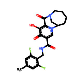 Cc1cc(F)c(CNC(=O)c2cn3c(c(O)c2=O)C(=O)N2CCCCC3C2)c(F)c1